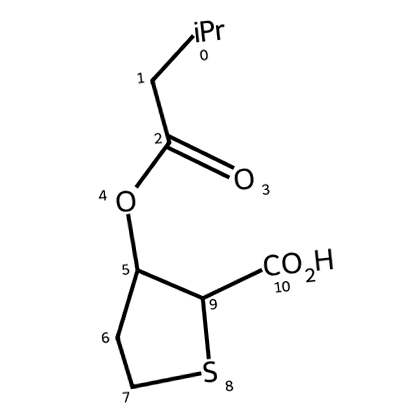 CC(C)CC(=O)OC1CCSC1C(=O)O